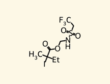 CCC(C)(I)C(=O)OCNS(=O)(=O)CC(F)(F)F